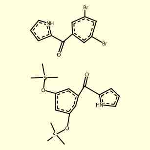 C[Si](C)(C)Oc1cc(O[Si](C)(C)C)cc(C(=O)c2ccc[nH]2)c1.O=C(c1cc(Br)cc(Br)c1)c1ccc[nH]1